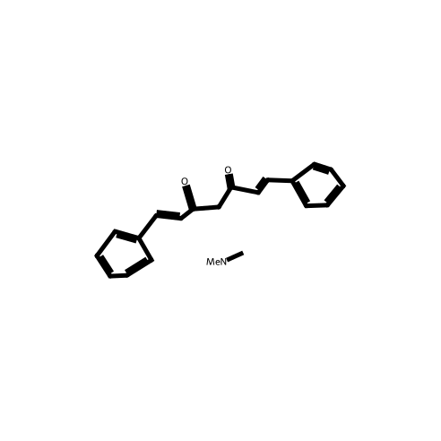 CNC.O=C(C=Cc1ccccc1)CC(=O)C=Cc1ccccc1